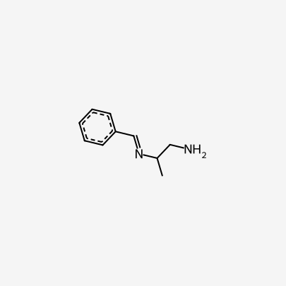 CC(CN)/N=C/c1ccccc1